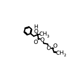 C=CC(=O)OCCOC(=O)C(C)(O)Cc1ccccc1